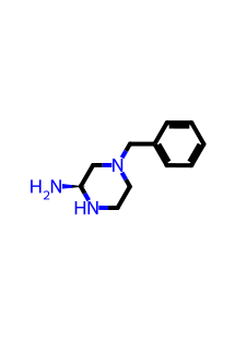 N[C@H]1CN(Cc2ccccc2)CCN1